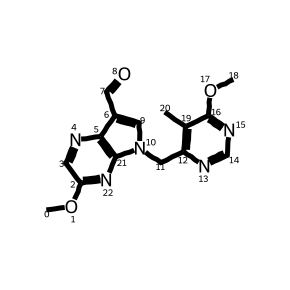 COc1cnc2c(C=O)cn(Cc3ncnc(OC)c3C)c2n1